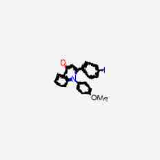 COc1ccc(-n2c(-c3ccc(I)cc3)cc(=O)c3ccccc32)cc1